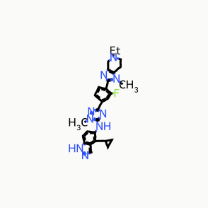 CCN1CCc2c(nc(-c3ccc(-c4nc(Nc5ccc6[nH]ncc6c5C5CC5)n(C)n4)cc3F)n2C)C1